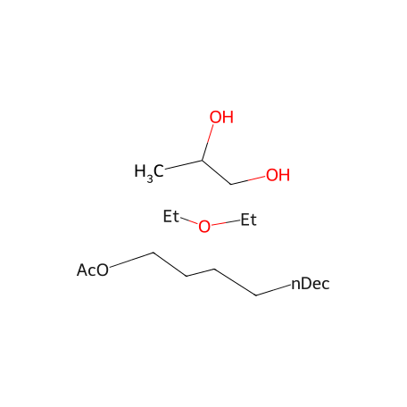 CC(O)CO.CCCCCCCCCCCCCCOC(C)=O.CCOCC